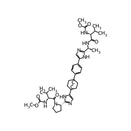 COC(=O)N[C@H](C(=O)N[C@@H](C)c1ncc(-c2ccc(C34CCC(c5cnc([C@@H]6CCCN6C(=O)[C@@H](NC(=O)OC)C(C)C)[nH]5)(CC3)CC4)cc2)[nH]1)C(C)C